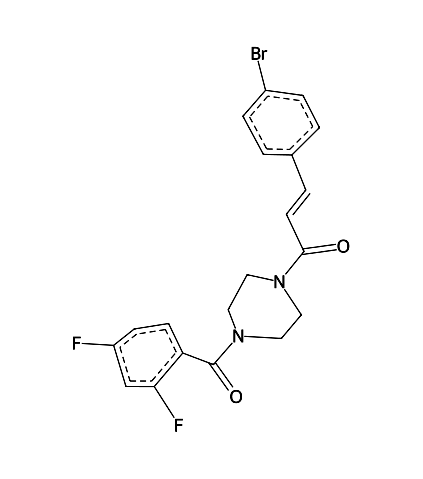 O=C(C=Cc1ccc(Br)cc1)N1CCN(C(=O)c2ccc(F)cc2F)CC1